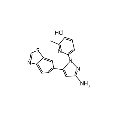 Cc1cccc(-n2nc(N)cc2-c2ccc3ncsc3c2)n1.Cl